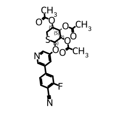 CC(=O)O[C@@H]1[C@@H](OC(C)=O)[C@@H](Oc2cncc(-c3ccc(C#N)c(F)c3)c2)SC[C@H]1OC(C)=O